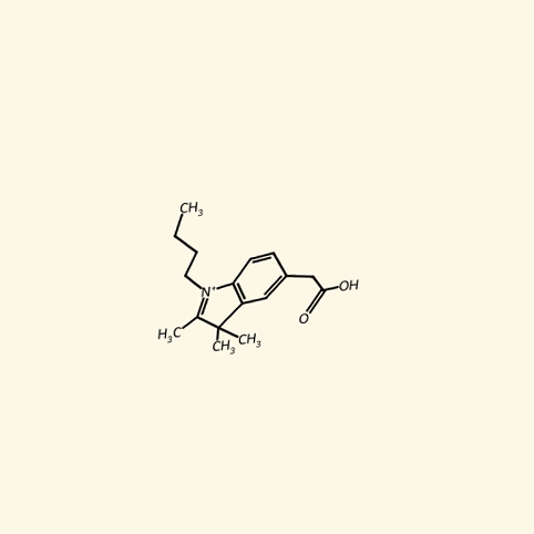 CCCC[N+]1=C(C)C(C)(C)c2cc(CC(=O)O)ccc21